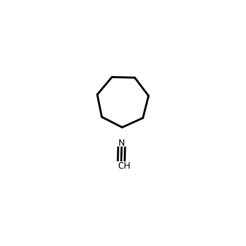 C#N.C1CCCCCC1